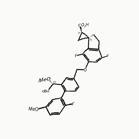 COc1ccc(F)c(-c2ccc(COc3cc(F)c4c(c3F)[C@@]3(CC4)C[C@H]3C(=O)O)cc2[C@@H](OC)C(C)(C)C)c1